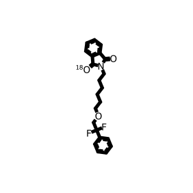 O=C1c2ccccc2C(=[18O])N1CCCCCCOCC(F)(F)c1ccccc1